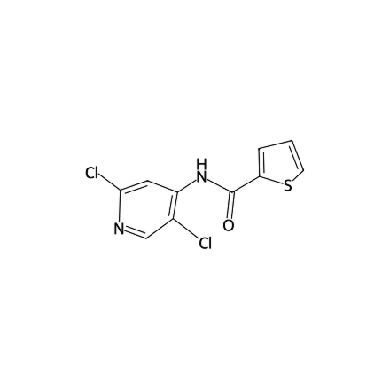 O=C(Nc1cc(Cl)ncc1Cl)c1cccs1